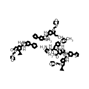 C=CCc1cn(CCN2CCOCC2)c2ccc(C(=O)Nc3cc(-c4ccccc4)ccc3N)cc12.CN1CCN(c2ccc3cc(C(=O)Nc4sccc4N)cnc3c2)CC1.NC(=O)c1cnc2[nH]ccc2c1.Nc1ccc(-c2ccccc2)cc1NC(=O)c1cc2c(c(C3CC3)c1)N(CCN1CCOCC1)C(=O)C2.Nc1ccc(-c2cccs2)cc1NC(=O)c1ccc2c(c1)cc(C1CC1)n2CCN1CCOCC1